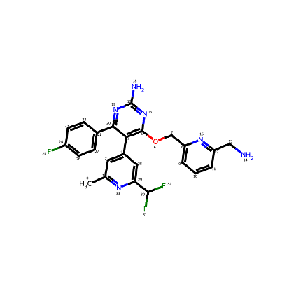 Cc1cc(-c2c(OCc3cccc(CN)n3)nc(N)nc2-c2ccc(F)cc2)cc(C(F)F)n1